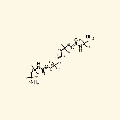 CC(C)(N)CC(C)(C)NC(=O)OCC(C)(C)C/C=C/CC(C)(C)COC(=O)NC(C)(C)CN